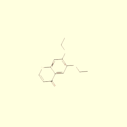 CCOc1cc2[nH]ccc(=O)c2cc1OCC